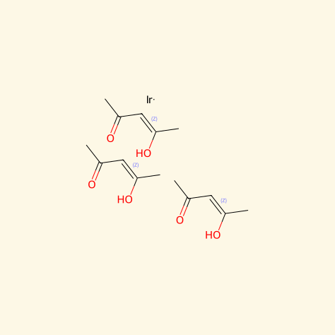 CC(=O)/C=C(/C)O.CC(=O)/C=C(/C)O.CC(=O)/C=C(/C)O.[Ir]